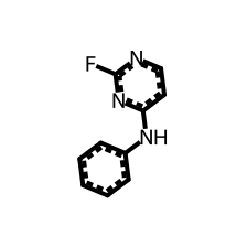 Fc1nccc(Nc2ccccc2)n1